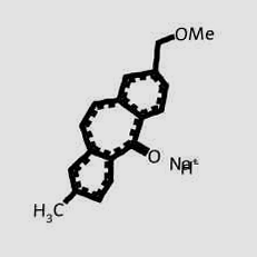 COCc1ccc2c(=O)c3ccc(C)cc3ccc2c1.[H-].[Na+]